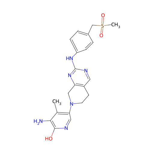 Cc1c(N2CCc3cnc(Nc4ccc(CS(C)(=O)=O)cc4)nc3C2)cnc(O)c1N